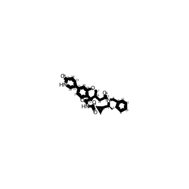 C[C@@H](C1CC1)N(Cc1ccccc1)C(=O)CC1COc2cc(-c3ccc(=O)[nH]c3)ccc2C12OC(=O)NC2=O